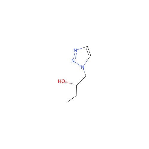 CC[C@H](O)Cn1ccnn1